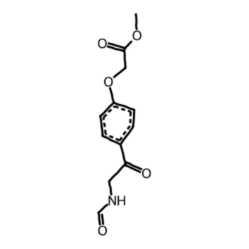 COC(=O)COc1ccc(C(=O)CNC=O)cc1